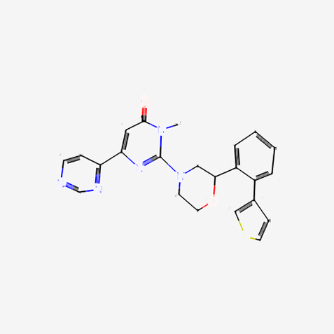 Cn1c(N2CCOC(c3ccccc3-c3ccsc3)C2)nc(-c2ccncn2)cc1=O